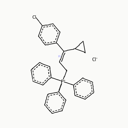 Clc1ccc(/C(=C/C[P+](c2ccccc2)(c2ccccc2)c2ccccc2)C2CC2)cc1.[Cl-]